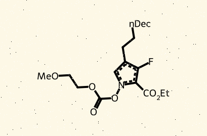 CCCCCCCCCCCCc1cn(OC(=O)OCCOC)c(C(=O)OCC)c1F